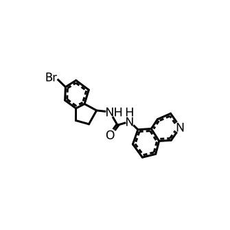 O=C(Nc1cccc2cnccc12)NC1CCc2cc(Br)ccc21